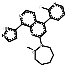 C[C@@H]1CCCCCN1c1cc(-c2cccnc2F)c2ccnc(-c3ccn[nH]3)c2n1